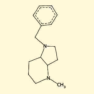 CN1CCCC2C1CCN2Cc1ccccc1